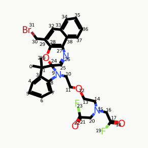 CC1(C)c2ccccc2N(CCOCCN(CC(=O)F)CC(=O)F)C12C=Nc1c(c(CBr)cc3ccccc13)O2